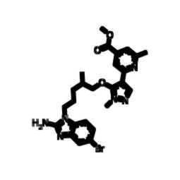 COC(=O)c1cc(C)nc(-c2cnn(C)c2OCC(C)CCCn2c(N)nc3cc(Br)ccc32)c1